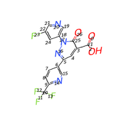 O=C(O)c1cc(-c2ccc(C(F)(F)F)nc2)nn(-c2cncc(F)c2)c1=O